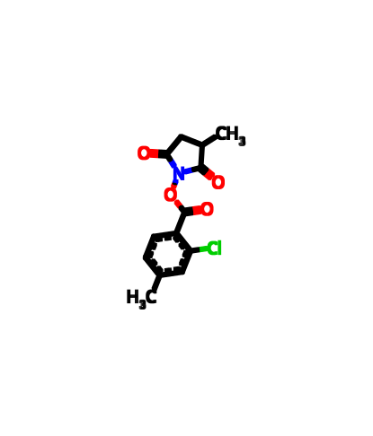 Cc1ccc(C(=O)ON2C(=O)CC(C)C2=O)c(Cl)c1